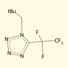 CC(C)(C)Cn1nnnc1C(F)(F)C(F)(F)F